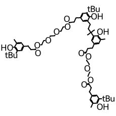 Cc1cc(CCC(=O)OCCOCCOCCOC(=O)CCc2cc(CCC(C)(C)c3cc(CCC(=O)OCCOCCOC(=O)CCc4cc(C)c(O)c(C(C)(C)C)c4)cc(C)c3O)c(O)c(C(C)(C)C)c2)cc(C(C)(C)C)c1O